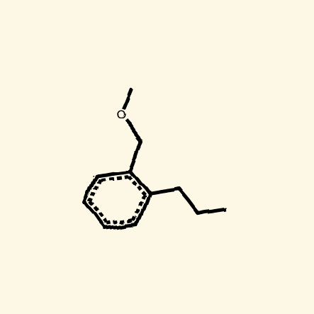 CCCc1ccc[c]c1COC